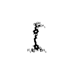 CCO[C@@H](Cc1ccc(OCC=CC#Cc2cc(OC)cc(OC)c2)cc1)C(=O)O